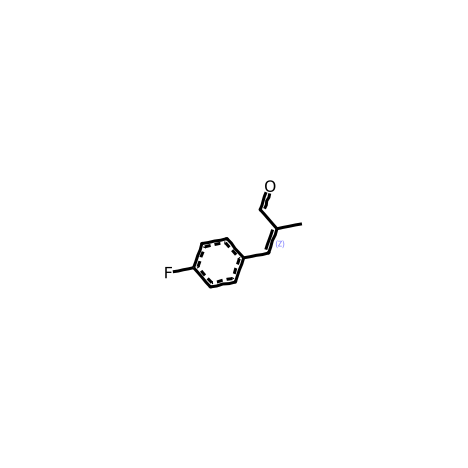 C/C(C=O)=C/c1ccc(F)cc1